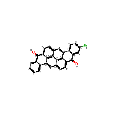 O=c1c2ccccc2c2cc3ccc4c(=O)c5cc(Br)ccc5c5cc6ccc1c2c6c3c45